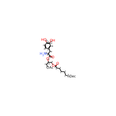 CCCCCCCCCCCCCCCC(=O)OCC(COC(C)=O)OC(=O)[C@@H](N)Cc1ccc(O)c(O)c1